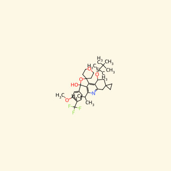 COc1cc(C2(O)OC3(CCOCC3)c3c4c(nc(C(C)C)c32)CC2(CC2)CC4O[Si](C)(C)C(C)(C)C)ccc1C(F)(F)F